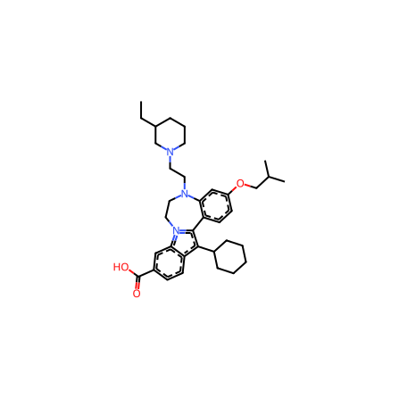 CCC1CCCN(CCN2CCn3c(c(C4CCCCC4)c4ccc(C(=O)O)cc43)-c3ccc(OCC(C)C)cc32)C1